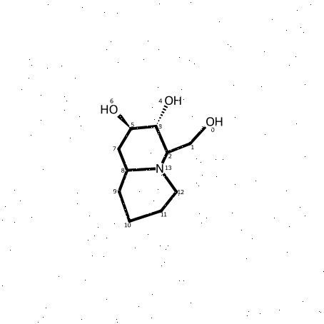 OCC1[C@@H](O)[C@H](O)CC2CCCCN21